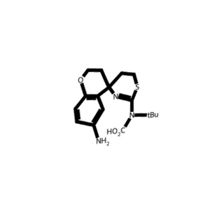 CC(C)(C)N(C(=O)O)C1=NC2(CCOc3ccc(N)cc32)CCS1